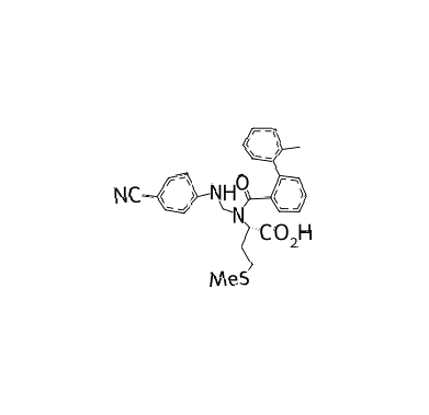 CSCC[C@@H](C(=O)O)N(CNc1ccc(C#N)cc1)C(=O)c1ccccc1-c1ccccc1C